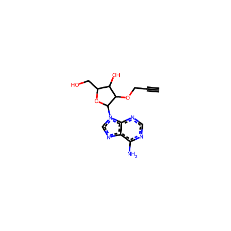 C#CCOC1C(O)C(CO)OC1n1cnc2c(N)ncnc21